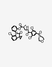 C[C@@H](CNC(=O)c1c(Cl)cc(C(=O)N2CCOCC2)cc1Cl)C(=O)Oc1ccccc1N1C(=O)C2(CC2)c2cccc(Cl)c21